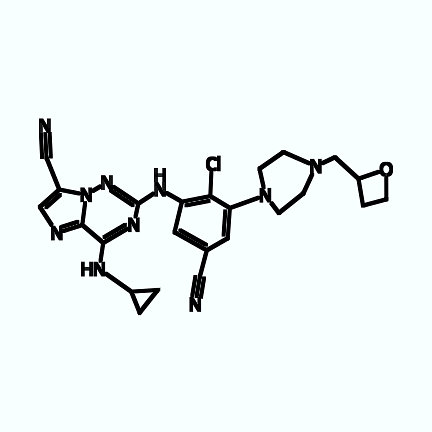 N#Cc1cc(Nc2nc(NC3CC3)c3ncc(C#N)n3n2)c(Cl)c(N2CCN(CC3CCO3)CC2)c1